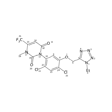 CCn1nnnc1COc1cc(-n2c(=O)cc(C(F)(F)F)n(C)c2=O)c(Cl)cc1Cl